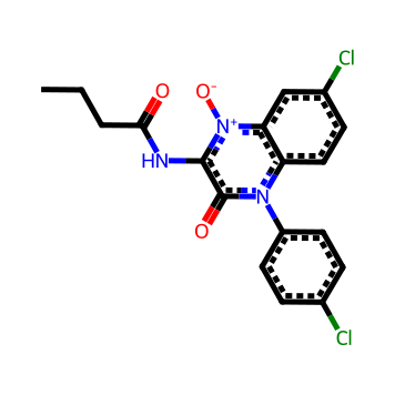 CCCC(=O)Nc1c(=O)n(-c2ccc(Cl)cc2)c2ccc(Cl)cc2[n+]1[O-]